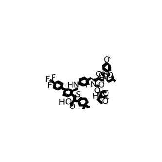 COc1ccc(S(=O)(=O)N(CC(C)C)C[C@@H](O)[C@H](Cc2ccc(NCc3cc(-c4ccc(C(F)(F)F)cc4)ccc3-c3sc4c(c3C(=O)O)CC(C)(C)CC4)cc2)NC(=O)O[C@H]2CO[C@@]3(C)OCC[C@@H]23)cc1